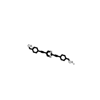 CCC1CCC(C#Cc2cnc(C#CC3CCC(CC)CC3)nc2)CC1